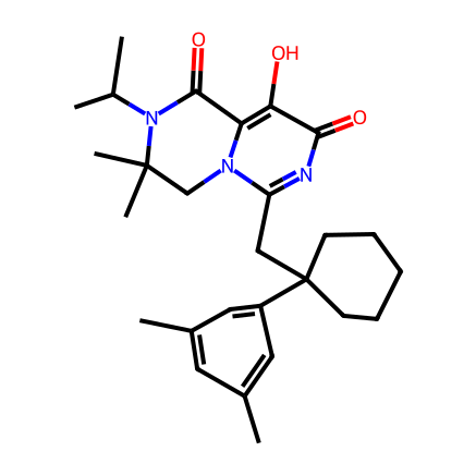 Cc1cc(C)cc(C2(Cc3nc(=O)c(O)c4n3CC(C)(C)N(C(C)C)C4=O)CCCCC2)c1